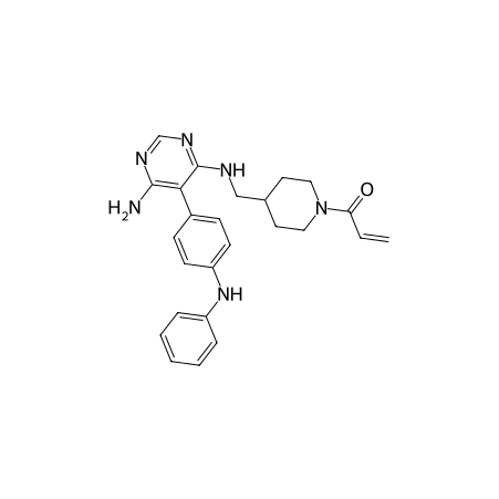 C=CC(=O)N1CCC(CNc2ncnc(N)c2-c2ccc(Nc3ccccc3)cc2)CC1